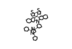 c1ccc(-c2cc(-c3cccc(N4c5cc6ccccc6cc5C5(c6cc7ccccc7cc64)c4ccsc4-c4sccc45)c3)nc(-c3ccccc3)n2)cc1